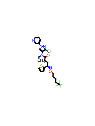 CCN(C(=O)CC/C(=N/OCCCCC(F)(F)F)c1cccs1)c1cn(-c2cccnc2)nc1Cl